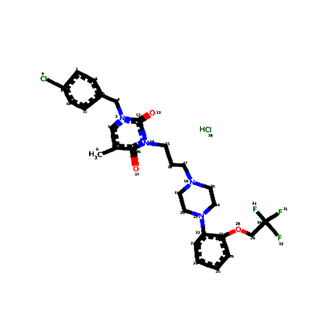 Cc1cn(Cc2ccc(Cl)cc2)c(=O)n(CCCN2CCN(c3ccccc3OCC(F)(F)F)CC2)c1=O.Cl